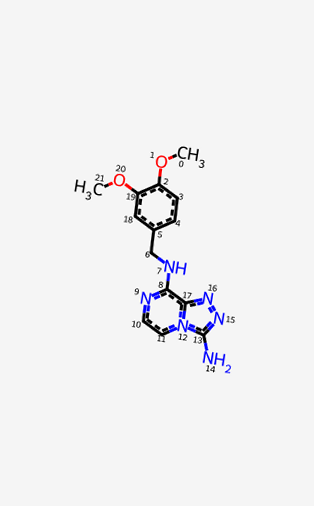 COc1ccc(CNc2nccn3c(N)nnc23)cc1OC